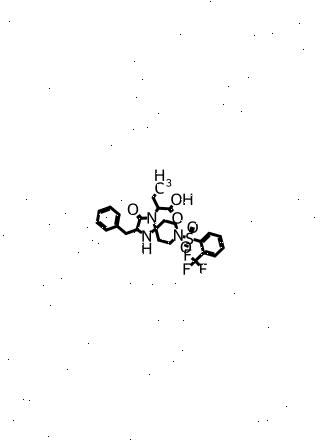 CCC(C(=O)O)N1C(=O)C(Cc2ccccc2)NC12CCN(S(=O)(=O)c1ccccc1C(F)(F)F)CC2